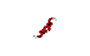 C=CC1=CCC(OC2=CCC(C3(C4C=CC=CC4)c4cc(N(c5ccc6c(c5)C5C=C(N(C7=CC8C(C=C7)C7C=CC=CC7C8(c7ccc(OC8C=CC(C=C)=CC8)cc7)C7C=CC=CC7)c7ccc(F)c(F)c7)C=CC5S6)C5C=CC(F)=C(F)C5)ccc4C4C=CC=CC43)C=C2)C=C1